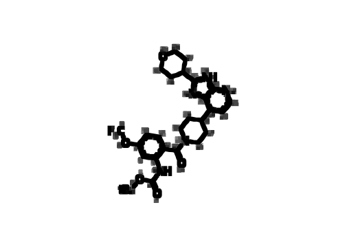 CC(C)(C)OC(=O)Nc1cc(OC(F)(F)F)ccc1C(=O)N1CCC(c2ccnc3[nH]c(C4CCOCC4)nc23)CC1